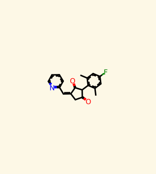 Cc1cc(F)cc(C)c1C1C(=O)CC(=Cc2ccccn2)C1=O